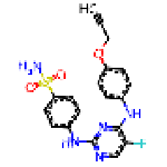 C#CCOc1ccc(Nc2nc(Nc3ccc(S(N)(=O)=O)cc3)ncc2F)cc1